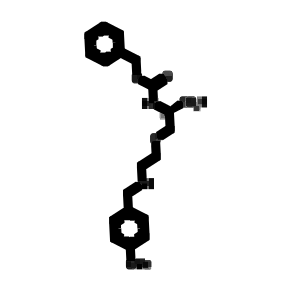 COc1ccc(CNCCOC[C@@H](NC(=O)OCc2ccccc2)C(=O)O)cc1